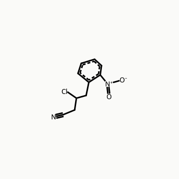 N#CCC(Cl)Cc1ccccc1[N+](=O)[O-]